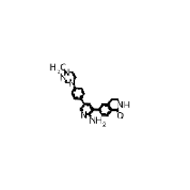 CN1CCN(c2ccc(-c3cnc(N)c(-c4ccc5c(c4)CCNC5=O)c3)cc2)C=N1